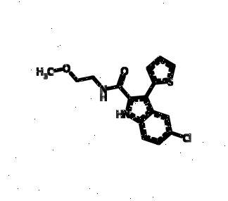 COCCNC(=O)c1[nH]c2ccc(Cl)cc2c1-c1cccs1